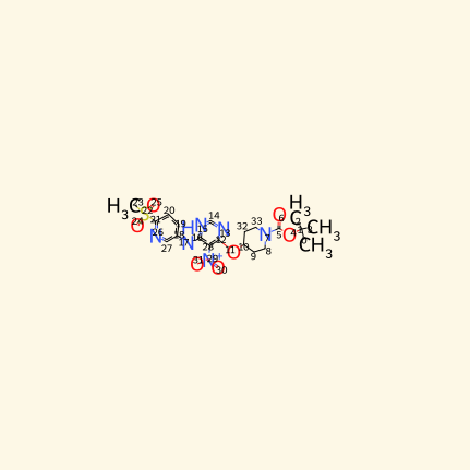 CC(C)(C)OC(=O)N1CCC(Oc2ncnc(Nc3ccc(S(C)(=O)=O)nc3)c2[N+](=O)[O-])CC1